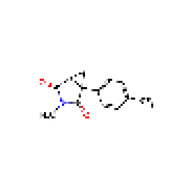 CN1C(=O)C2CC2(c2ccc(C(F)(F)F)cc2)C1=O